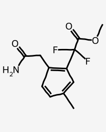 COC(=O)C(F)(F)c1cc(C)ccc1CC(N)=O